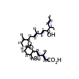 C/C=C/C(C)C(O)/C=C/C(C)=C/CC1O[C@]2(CCC1C)CCC(CCCC)C(/C=C/C(C)=C/C(=O)O)O2